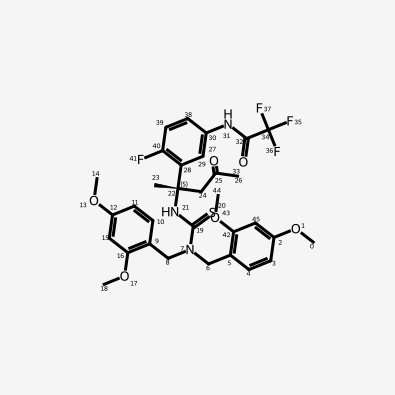 COc1ccc(CN(Cc2ccc(OC)cc2OC)C(=S)N[C@@](C)(CC(C)=O)c2cc(NC(=O)C(F)(F)F)ccc2F)c(OC)c1